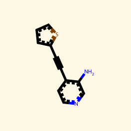 Nc1cnccc1C#Cc1cccs1